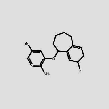 Nc1ncc(Br)cc1OC1CCCCC2=CCC(F)C=C21